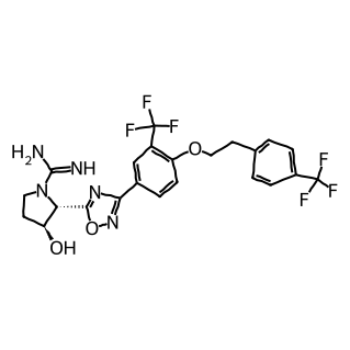 N=C(N)N1CC[C@H](O)[C@H]1c1nc(-c2ccc(OCCc3ccc(C(F)(F)F)cc3)c(C(F)(F)F)c2)no1